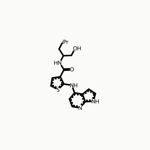 CC(C)CC(CO)NC(=O)c1ccsc1Nc1ccnc2[nH]ccc12